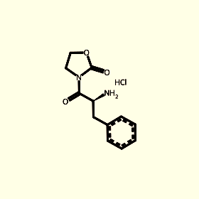 Cl.N[C@@H](Cc1ccccc1)C(=O)N1CCOC1=O